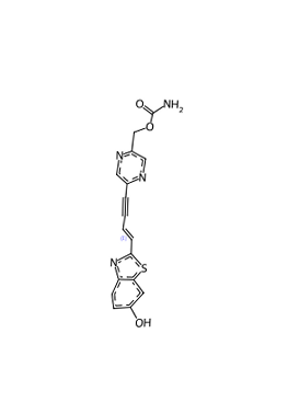 NC(=O)OCc1cnc(C#C/C=C/c2nc3ccc(O)cc3s2)cn1